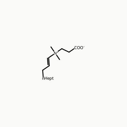 CCCCCCCCC=C[N+](C)(C)CCC(=O)[O-]